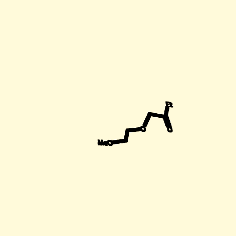 CCC(=O)COCCOC